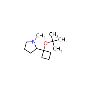 CN1CCCC1C1(OC(C)(C)C)CCC1